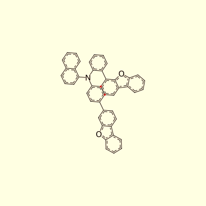 c1ccc(N(c2ccc(-c3ccc4c(c3)oc3ccccc34)cc2)c2cccc3ccccc23)c(-c2cccc3c2oc2ccccc23)c1